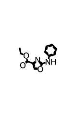 CCOC(=O)c1coc(Nc2ccccc2)n1